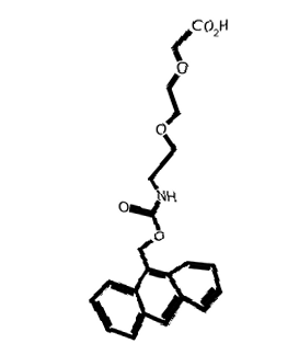 O=C(O)COCCOCCNC(=O)OCc1c2ccccc2cc2ccccc12